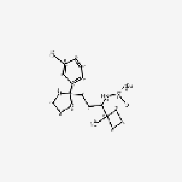 CC(C)(C)[S@+]([O-])N[C@H](CCC1(c2cccc(Cl)c2)OCCO1)C1(C#N)CCC1